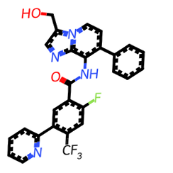 O=C(Nc1c(-c2ccccc2)ccn2c(CO)cnc12)c1cc(-c2ccccn2)c(C(F)(F)F)cc1F